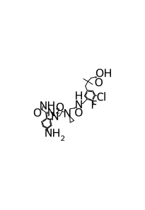 CC(C)(CC(=O)O)Cc1cc(Cl)c(F)c(CNC(=O)CN(C(=O)Cn2nc(C(N)=O)c3ccc(N)cc32)C2CC2)c1